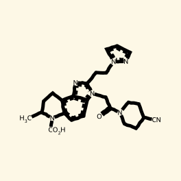 CC1CCc2c(ccc3c2nc(CCn2cccn2)n3CC(=O)N2CCC(C#N)CC2)N1C(=O)O